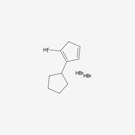 Br.Br.[Hf][C]1=C(C2CCCC2)C=CC1